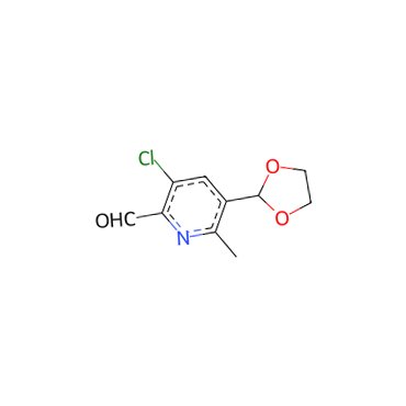 Cc1nc(C=O)c(Cl)cc1C1OCCO1